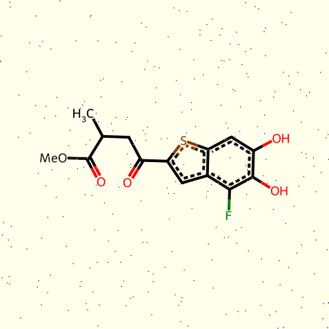 COC(=O)C(C)CC(=O)c1cc2c(F)c(O)c(O)cc2s1